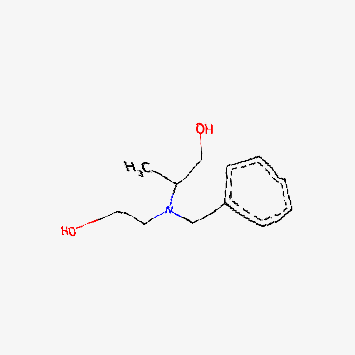 CC(CO)N(CCO)Cc1ccccc1